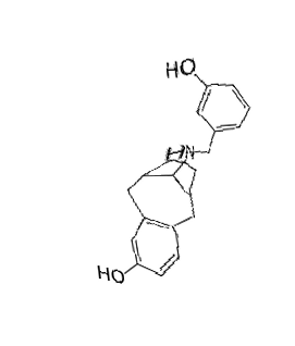 Oc1cccc(CNC2C3CCC2Cc2cc(O)ccc2C3)c1